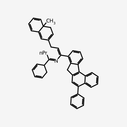 CCC/C(=N\C(=C/CC1=CCC2(C)C=CC=CC2=C1)c1cccc2c1Cc1cc(-c3ccccc3)c3ccccc3c1-2)C1C=CC=CC1